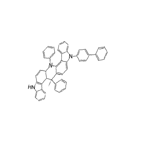 CC1(c2ccccc2)c2ccc3c(c2N(c2ccccc2)C2C=Cc4[nH]c5ccccc5c4C21)c1ccccc1n3-c1ccc(-c2ccccc2)cc1